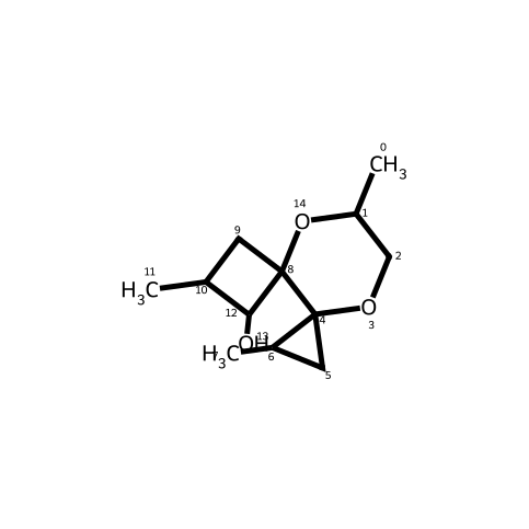 CC1COC2(CC2C)C2(CC(C)C2O)O1